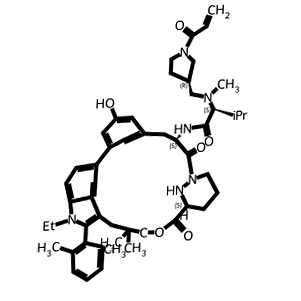 C=CC(=O)N1CC[C@H](CN(C)[C@H](C(=O)N[C@H]2Cc3cc(O)cc(c3)-c3ccc4c(c3)c(c(-c3c(C)cccc3C)n4CC)CC(C)(C)COC(=O)[C@@H]3CCCN(N3)C2=O)C(C)C)C1